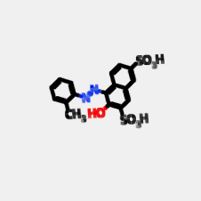 Cc1ccccc1N=Nc1c(O)c(S(=O)(=O)O)cc2cc(S(=O)(=O)O)ccc12